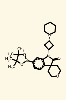 CC1(C)OB(c2ccc3c(c2)N([C@H]2C[C@@H](N4CCCCC4)C2)C(=O)C32CCOCC2)OC1(C)C